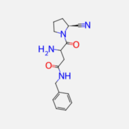 N#C[C@@H]1CCCN1C(=O)C(N)CC(=O)NCc1ccccc1